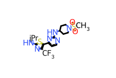 CC(C)Nc1nc(C(F)(F)F)c(-c2ccnc(NC3CCN(S(C)(=O)=O)CC3)n2)s1